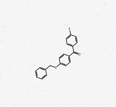 O=C(c1ccc(F)cc1)c1ccc(SCc2ccccc2)cc1